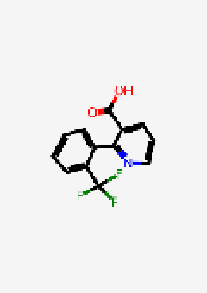 O=C(O)c1cccnc1-c1ccccc1C(F)(F)F